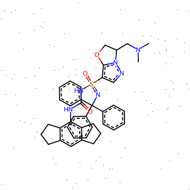 CN(C)CC1COc2c(S(=O)(=NC(c3ccccc3)(c3ccccc3)c3ccccc3)NC(=O)Nc3c4c(cc5c3CCC5)CCC4)cnn21